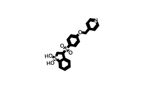 O=S(=O)(c1ccc(OCc2ccncc2)cc1)C1CS(O)(O)c2ccccc21